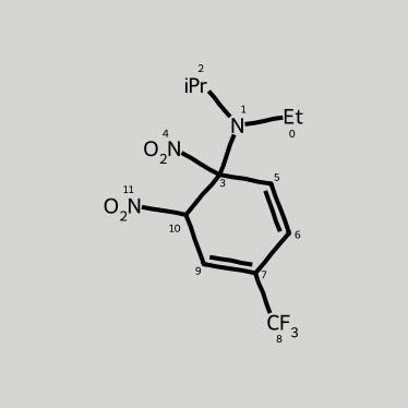 CCN(C(C)C)C1([N+](=O)[O-])C=CC(C(F)(F)F)=CC1[N+](=O)[O-]